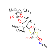 C=NO[C@H]1C[C@H](O)[C@H](SC(=O)c2c(C)c(C)c(O[C@@H]3O[C@@H](C)C[C@@H](OC)[C@H]3O)c(OC)c2OC)[C@@H](C)S1